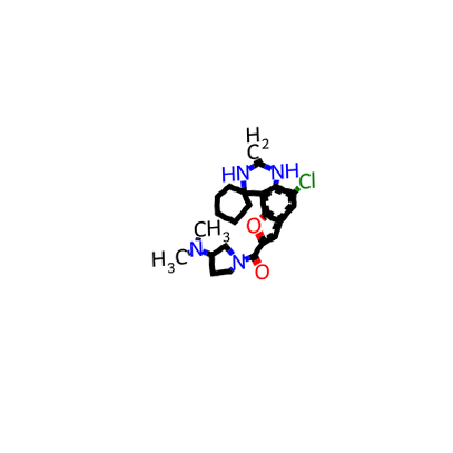 C=C1Nc2c(Cl)cc3cc(C(=O)N4CCC(N(C)C)C4)oc3c2C2(CCCCC2)N1